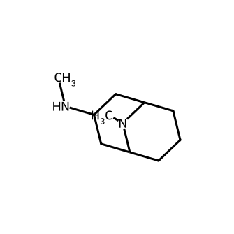 CNC1CC2CCCC(C1)N2C